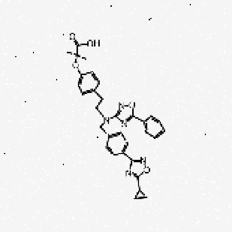 CC(C)(Oc1ccc(CCN(Cc2ccc(-c3noc(C4CC4)n3)cc2)c2noc(-c3ccccc3)n2)cc1)C(=O)O